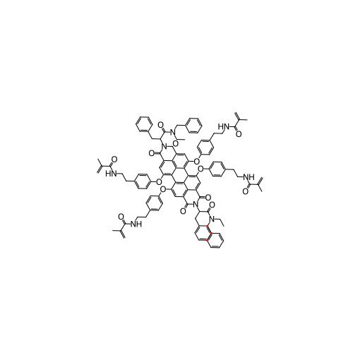 C=C(C)C(=O)NCCc1ccc(Oc2cc3c4c(cc(Oc5ccc(CCNC(=O)C(=C)C)cc5)c5c6c(Oc7ccc(CCNC(=O)C(=C)C)cc7)cc7c8c(cc(Oc9ccc(CCNC(=O)C(=C)C)cc9)c(c2c45)c86)C(=O)N(C(Cc2ccccc2)C(=O)N(CC)Cc2ccccc2)C7=O)C(=O)N(C(Cc2ccccc2)C(=O)N(CC)Cc2ccccc2)C3=O)cc1